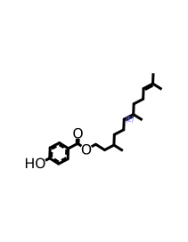 CC(C)=CCC/C(C)=C/CCC(C)CCOC(=O)c1ccc(O)cc1